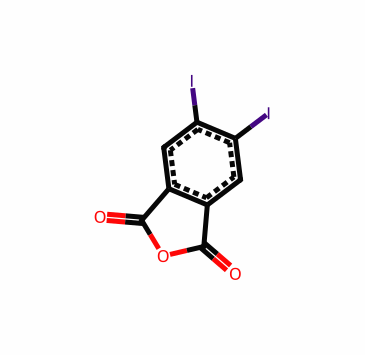 O=C1OC(=O)c2cc(I)c(I)cc21